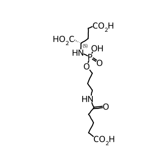 O=C(O)CCCC(=O)NCCCOP(=O)(O)N[C@@H](CCC(=O)O)C(=O)O